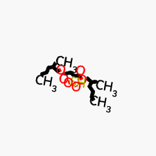 CCCCC(CC)COC(=O)CC(C(=O)OCC(CC)CCCC)[SH](=O)=O